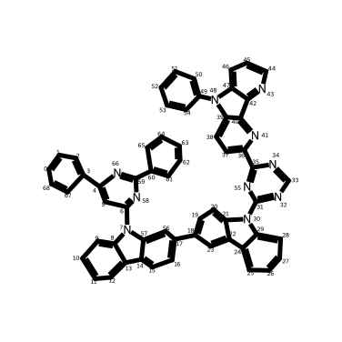 c1ccc(-c2cc(-n3c4ccccc4c4ccc(-c5ccc6c(c5)c5ccccc5n6-c5ncnc(-c6ccc7c(n6)c6ncccc6n7-c6ccccc6)n5)cc43)nc(-c3ccccc3)n2)cc1